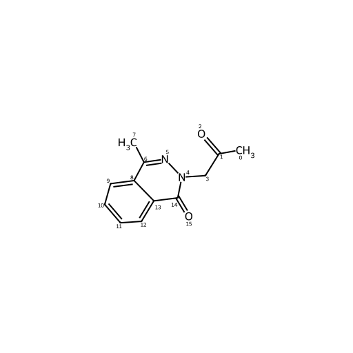 CC(=O)Cn1nc(C)c2ccccc2c1=O